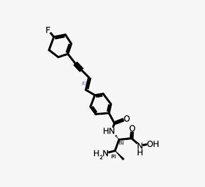 C[C@@H](N)[C@H](NC(=O)c1ccc(/C=C/C#CC2=CC=C(F)CC2)cc1)C(=O)NO